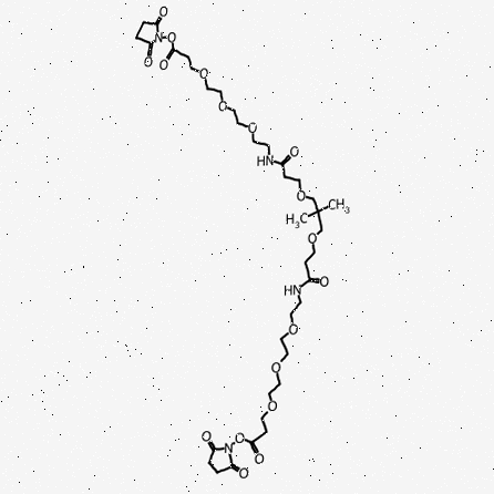 CC(C)(COCCC(=O)NCCOCCOCCOCCC(=O)ON1C(=O)CCC1=O)COCCC(=O)NCCOCCOCCOCCC(=O)ON1C(=O)CCC1=O